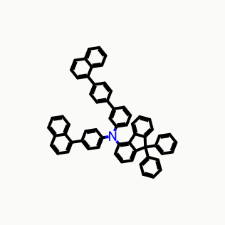 c1ccc(C2(c3ccccc3)c3ccccc3-c3c(N(c4ccc(-c5cccc6ccccc56)cc4)c4cccc(-c5ccc(-c6cccc7ccccc67)cc5)c4)cccc32)cc1